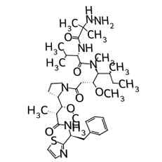 CC[C@H](C)[C@@H]([C@@H](CC(=O)N1CCC[C@H]1[C@H](OC)[C@@H](C)C(=O)N[C@@H](Cc1ccccc1)c1nccs1)OC)N(C)C(=O)[C@@H](NC(=O)C(C)(C)NN)C(C)C